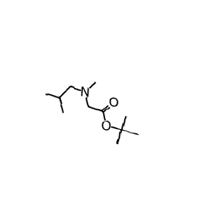 CC(C)CN(C)CC(=O)OC(C)(C)C